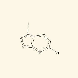 Cc1nsc2nc(Cl)ccc12